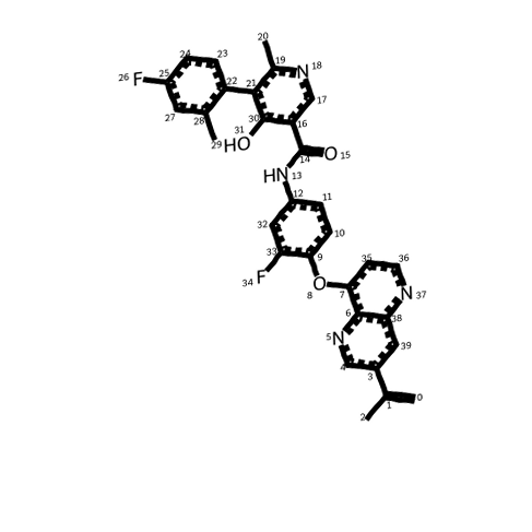 C=C(C)c1cnc2c(Oc3ccc(NC(=O)c4cnc(C)c(-c5ccc(F)cc5C)c4O)cc3F)ccnc2c1